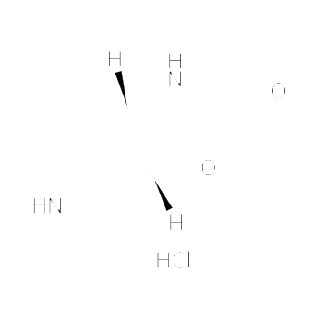 Cl.O=C1N[C@H]2CCNC[C@H]2O1